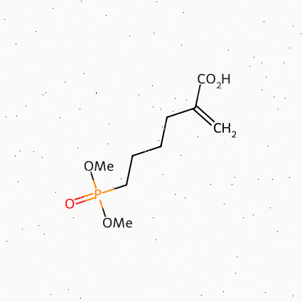 C=C(CCCCP(=O)(OC)OC)C(=O)O